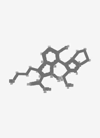 CNCc1nn2c(c1-c1c(Cl)ccc3c(CCCO)c(C(=O)OC)n(C)c13)CCC2